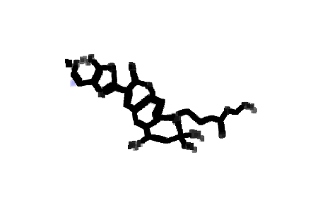 C/C=C\c1nc(-c2cc3cc4c(cc3oc2=O)N(CCCC(=O)OCC)C(C)(C)C=C4C)oc1C